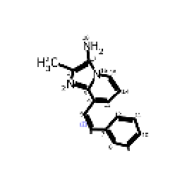 Cc1nc2c(/C=C\c3ccccc3)cccn2c1N